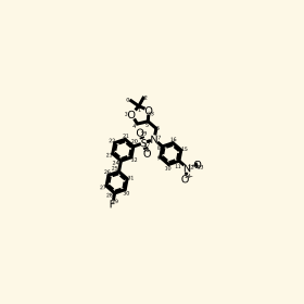 CC1(C)OCC(CN(c2ccc([N+](=O)[O-])cc2)S(=O)(=O)c2cccc(-c3ccc(F)cc3)c2)O1